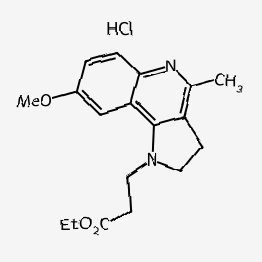 CCOC(=O)CCN1CCc2c(C)nc3ccc(OC)cc3c21.Cl